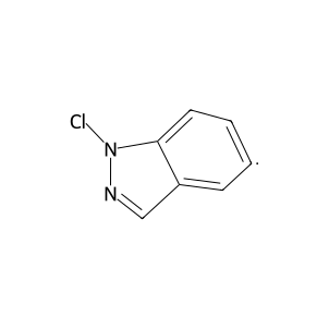 Cln1ncc2c[c]ccc21